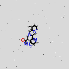 Cc1cccnc1CN(CCC(N)=O)C(C)c1ccccn1